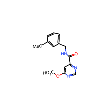 COc1cccc(CNC(=O)c2cc(OC(=O)O)ncn2)c1